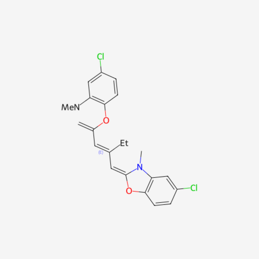 C=C(/C=C(/C=C1Oc2ccc(Cl)cc2N1C)CC)Oc1ccc(Cl)cc1NC